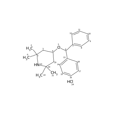 CC1(C)CC(OC(c2ccccc2)c2ccccc2)CC(C)(C)N1.Cl